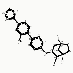 Oc1cc(-c2nncs2)ccc1-c1ccc(O[C@H]2C[C@@H]3CC[C@@H](C3)[C@H]2F)nn1